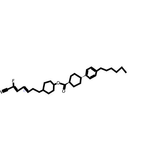 CCCCCCc1ccc([C@H]2CC[C@H](C(=O)OC3CCC(CC/C=C/C=C(F)C#N)CC3)CC2)cc1